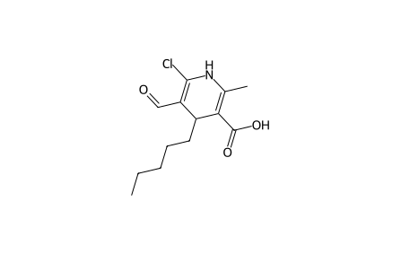 CCCCCC1C(C=O)=C(Cl)NC(C)=C1C(=O)O